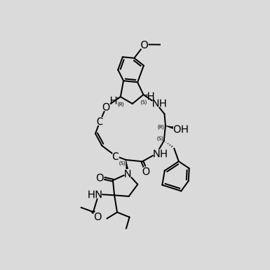 CCC(C)C1(NC(C)=O)CCN([C@H]2CC=CCO[C@@H]3C[C@H](NC[C@@H](O)[C@H](Cc4ccccc4)NC2=O)c2cc(OC)ccc23)C1=O